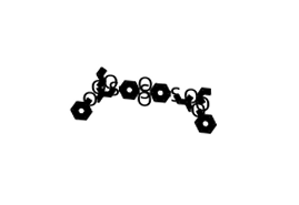 C=CC(=O)OC(COc1ccccc1)CSc1ccc(S(=O)(=O)c2ccc(SCC(COc3ccccc3)OC(=O)C=C)cc2)cc1